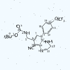 CC(C)(C)OC(=O)NCc1cc(-c2ccc(OC(F)(F)F)cc2)c2c(c1C#N)N=CCN2